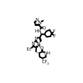 CCc1nc2nc([C@@H](NC(=O)c3ccnn3C)C3CCC(F)(F)CC3)cn2nc1C[C@H]1C[C@@H](C(F)(F)F)CNC1=O